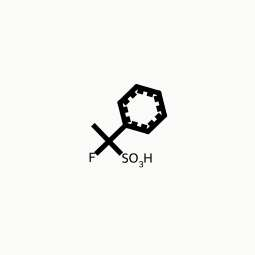 CC(F)(c1ccccc1)S(=O)(=O)O